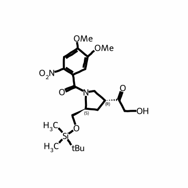 COc1cc(C(=O)N2C[C@H](C(=O)CO)C[C@H]2CO[Si](C)(C)C(C)(C)C)c([N+](=O)[O-])cc1OC